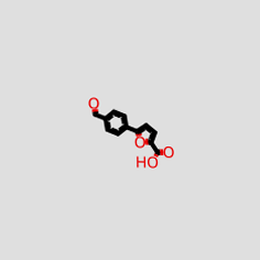 O=Cc1ccc(-c2ccc(C(=O)O)o2)cc1